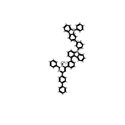 C=N/C(=C\C(=N/Cc1ccccc1)c1ccc(-c2ccccc2)cc1)c1cccc(-c2cccc3c2c2ccccc2n3-c2cccc(-c3ccc4c5ccccc5n(-c5ccccc5)c4c3)c2)c1